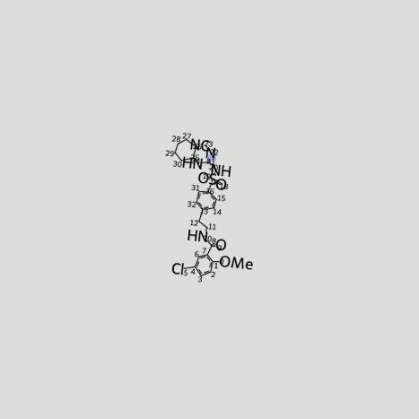 COc1ccc(Cl)cc1C(=O)NCCc1ccc(S(=O)(=O)N/C(=N/C#N)NC2CCCCC2)cc1